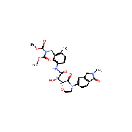 [C-]#[N+]c1ccc(NC(=O)[C@H](O)[C@H]2OCCN(c3ccc4c(c3)CN(C)C4=O)C2=O)cc1CN(C(=O)OC(C)(C)C)C(=O)OC(C)(C)C